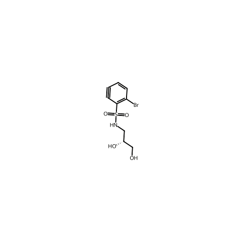 O=S(=O)(NC[C@@H](O)CO)c1c#cccc1Br